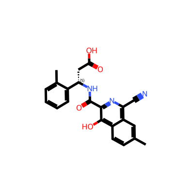 Cc1ccc2c(O)c(C(=O)N[C@@H](CC(=O)O)c3ccccc3C)nc(C#N)c2c1